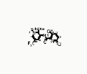 CNC1C(NC(=O)c2nc(Cl)ccc2Cl)=CC(C(F)(F)F)=CN1C